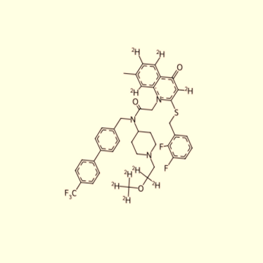 [2H]c1c(C)c([2H])c2c(c1[2H])c(=O)c([2H])c(SCc1cccc(F)c1F)n2CC(=O)N(Cc1ccc(-c2ccc(C(F)(F)F)cc2)cc1)C1CCN(CC([2H])([2H])OC([2H])([2H])[2H])CC1